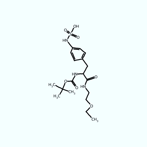 CCOCCNC(=O)C(Cc1ccc(NS(=O)(=O)O)cc1)NC(=O)OC(C)(C)C